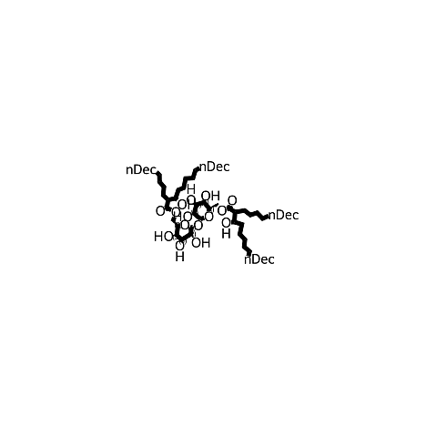 CCCCCCCCCCCCCCCC(O)C(CCCCCCCCCCCCCC)C(=O)OC[C@H]1O[C@@H](OC2O[C@H](COC(=O)C(CCCCCCCCCCCCCC)C(O)CCCCCCCCCCCCCCC)[C@@H](O)[C@H](O)[C@H]2O)[C@H](O)[C@@H](O)[C@@H]1O